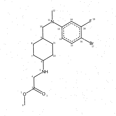 COC(=O)CNC1CCC(CN(C)c2ccc(Br)c(F)c2)CC1